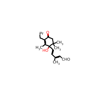 CC(C=CC1(O)C(C)=C(CC(C)C)C(=O)CC1(C)C)=CC=O